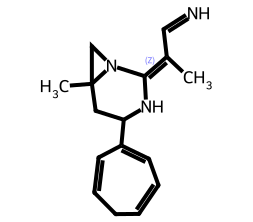 C/C(C=N)=C1\NC(C2=CC=CCC=C2)CC2(C)CN12